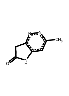 Cc1cc2c(nn1)CC(=O)N2